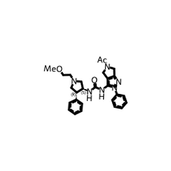 COCCN1C[C@@H](NC(=O)Nc2c3c(nn2-c2ccccc2)CN(C(C)=O)C3)[C@H](c2ccccc2)C1